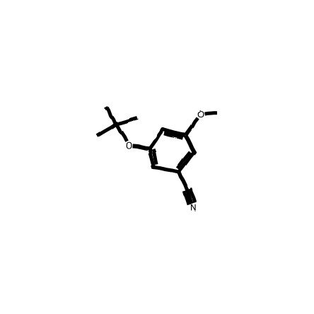 COc1cc(C#N)cc(OC(C)(C)C)c1